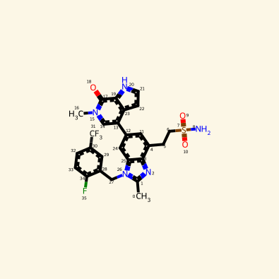 Cc1nc2c(CCS(N)(=O)=O)cc(-c3cn(C)c(=O)c4[nH]ccc34)cc2n1Cc1cc(C(F)(F)F)ccc1F